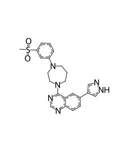 CS(=O)(=O)c1cccc(N2CCCN(c3ncnc4ccc(-c5cn[nH]c5)cc34)CC2)c1